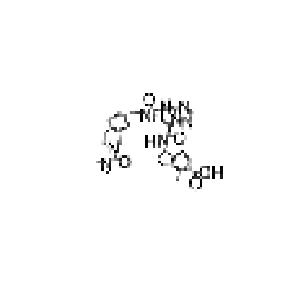 Cc1c(C(=O)O)ccc2c1CC[C@@H]2NC(=O)c1cc(C(=O)NCc2ccc3c(c2)CN(C(=O)N(C)C)CC3)nc2ncnn12